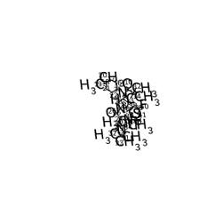 CN(C)C(=S)[C@H]1C[C@H](N(C(=O)C(C)(C)C)C2CCC(C)(C)CC2)CN1C(=O)[C@@H]1CN(C(C)(C)C)C[C@H]1c1ccc(F)cc1F